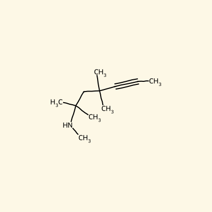 CC#CC(C)(C)CC(C)(C)NC